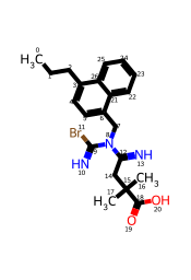 CCCc1ccc(CN(C(=N)Br)C(=N)CC(C)(C)C(=O)O)c2ccccc12